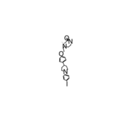 C[C@@H]1C(=O)N(C)CCN1CCOc1ccc(C2CCN(c3ccc(I)cc3)CC2)cc1